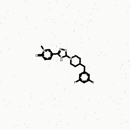 Cn1cc(C2=NOC(N3CCC(Cc4cc(F)cc(F)c4)CC3)N2)ccc1=O